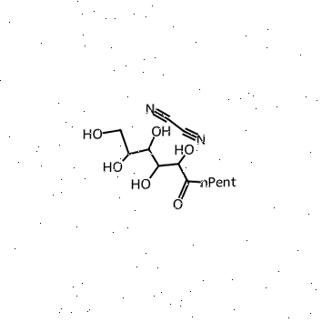 CCCCCC(=O)C(O)C(O)C(O)C(O)CO.N#CC#N